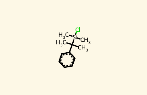 CC(C)(c1ccccc1)[Si](C)(C)Cl